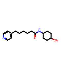 O=C(CCCCCc1ccncc1)NC1CCC(O)CC1